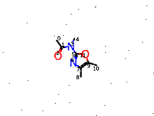 CC(=O)N(C)c1nc(C)c(C)o1